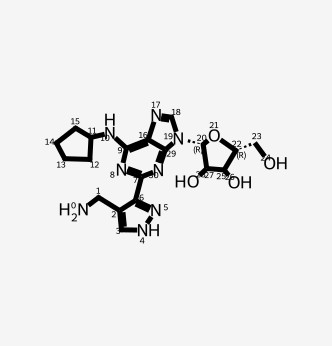 NCc1c[nH]nc1-c1nc(NC2CCCC2)c2ncn([C@@H]3O[C@H](CO)C(O)C3O)c2n1